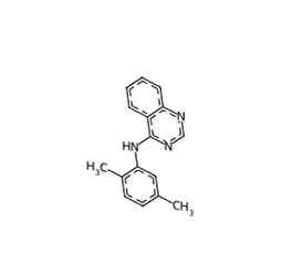 Cc1ccc(C)c(Nc2ncnc3ccccc23)c1